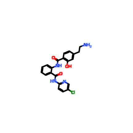 NCCc1ccc(C(=O)Nc2ccccc2C(=O)Nc2ccc(Cl)cn2)c(O)c1